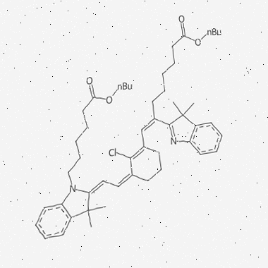 CCCCOC(=O)CCCCCC(=CC1=C(Cl)C(=CC=C2N(CCCCCC(=O)OCCCC)c3ccccc3C2(C)C)CCC1)C1=Nc2ccccc2C1(C)C